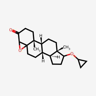 C[C@]12CC[C@@H]3[C@@H](CCC45OC4C(=O)CC[C@]35C)[C@@H]1CCC2OC1CC1